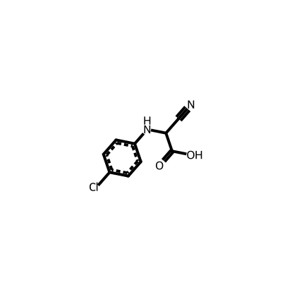 N#CC(Nc1ccc(Cl)cc1)C(=O)O